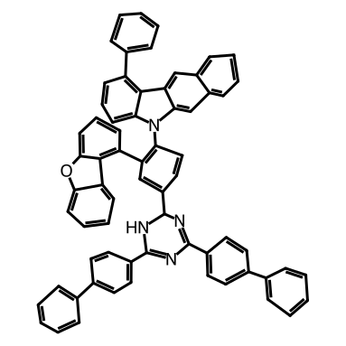 c1ccc(-c2ccc(C3=NC(c4ccc(-n5c6cc7ccccc7cc6c6c(-c7ccccc7)cccc65)c(-c5cccc6oc7ccccc7c56)c4)NC(c4ccc(-c5ccccc5)cc4)=N3)cc2)cc1